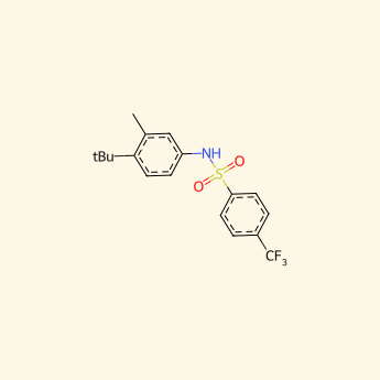 Cc1cc(NS(=O)(=O)c2ccc(C(F)(F)F)cc2)ccc1C(C)(C)C